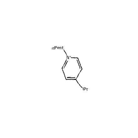 CCCCC[n+]1ccc(C(C)C)cc1